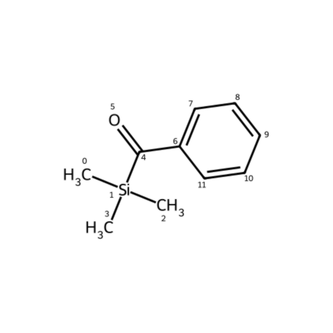 C[Si](C)(C)C(=O)c1ccccc1